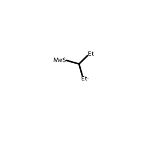 C[CH]C(CC)SC